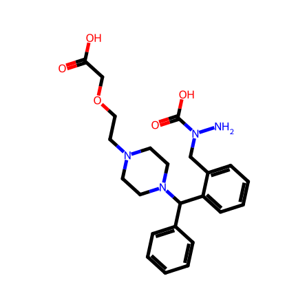 NN(Cc1ccccc1C(c1ccccc1)N1CCN(CCOCC(=O)O)CC1)C(=O)O